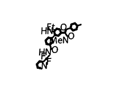 CCNc1cc2oc(-c3ccc(C)cc3)c(C(=O)NC)c2cc1-c1cccc(C(=O)NCC(F)(F)c2ccccn2)c1